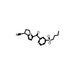 CCCCS(=O)(=O)c1cccc(C(=O)c2ccc3n2CCC3C#N)c1